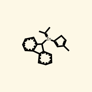 CC1=CC[C]([Zn](=[C](C)C)[CH]2c3ccccc3-c3ccccc32)=C1